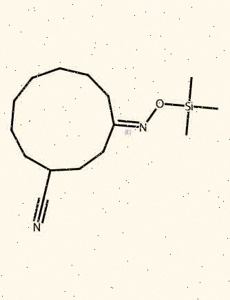 C[Si](C)(C)O/N=C1\CCCCCCCC(C#N)CC1